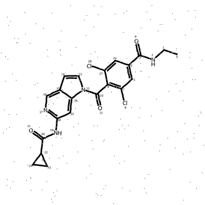 CCNC(=O)c1cc(Cl)c(C(=O)n2ccc3cnc(NC(=O)C4CC4)cc32)c(Cl)c1